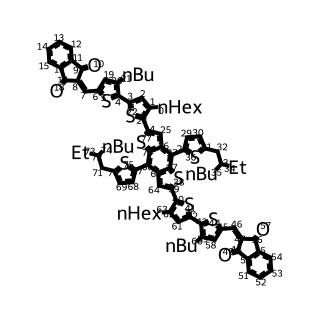 CCCCCCc1cc(-c2sc(C=C3C(=O)c4ccccc4C3=O)cc2CCCC)sc1-c1cc2c(-c3ccc(CC(CC)CCCC)s3)c3sc(-c4sc(-c5sc(C=C6C(=O)c7ccccc7C6=O)cc5CCCC)cc4CCCCCC)cc3c(-c3ccc(CC(CC)CCCC)s3)c2s1